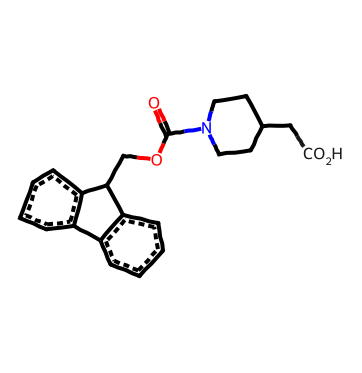 O=C(O)CC1CCN(C(=O)OCC2c3ccccc3-c3ccccc32)CC1